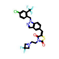 O=C1SC(=Cc2ccc3c(cnn3Cc3ccc(Cl)cc3C(F)(F)F)c2)C(=O)N1CCN1CC(F)(F)C1